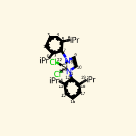 CC(C)c1cccc(C(C)C)c1N1C=CN(c2c(C(C)C)cccc2C(C)C)[Si]1(Cl)Cl